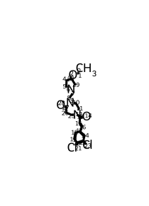 CCO[C@H]1CCN(CCN2CCN(C(=O)C=Cc3ccc(Cl)c(Cl)c3)CCC2=O)C1